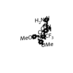 COc1ccc(CN(Cc2ccc(OC)cc2)c2cc(C)c(C(F)(F)F)c(-c3cc4ncnc5c4c(c3Cl)OCCN5Cc3cncc(N)c3)n2)cc1